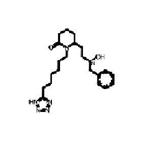 O=C1CCCC(CC[C@@H](O)Cc2ccccc2)N1CCCCCCc1nnn[nH]1